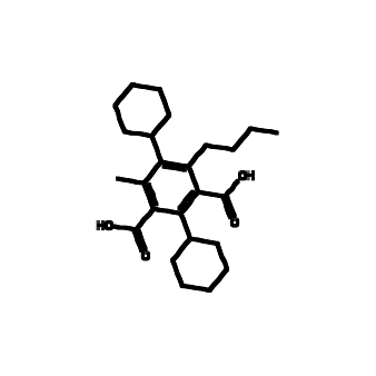 CCCCc1c(C(=O)O)c(C2CCCCC2)c(C(=O)O)c(C)c1C1CCCCC1